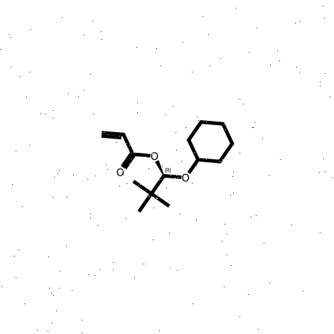 C=CC(=O)O[C@@H](OC1CCCCC1)C(C)(C)C